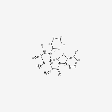 CC(C(=O)N1CCc2c(F)cccc21)c1nc(N2CCOCC2)c(F)c(=O)n1C